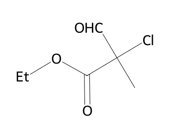 CCOC(=O)C(C)(Cl)C=O